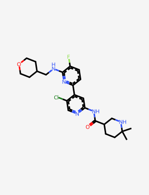 CC1(C)CCC(C(=O)Nc2cc(-c3ccc(F)c(NCC4CCOCC4)n3)c(Cl)cn2)CN1